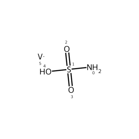 NS(=O)(=O)O.[V]